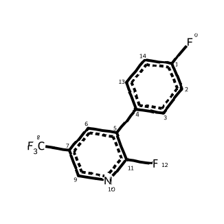 Fc1ccc(-c2cc(C(F)(F)F)cnc2F)cc1